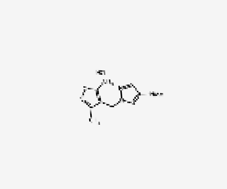 CNc1cnn(Cc2c(C)noc2C)c1.Cl